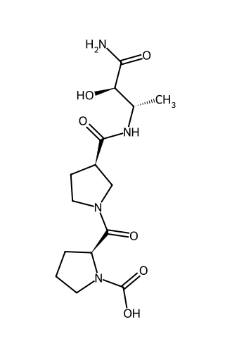 C[C@H](NC(=O)[C@@H]1CCN(C(=O)[C@@H]2CCCN2C(=O)O)C1)[C@@H](O)C(N)=O